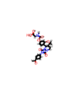 CC(=O)c1ccc(-n2c(=O)n3n(c2=O)C2C(=CC3)C(C)(C)Oc3cc(OC(=O)N(C)CC(=O)O)ccc32)cc1